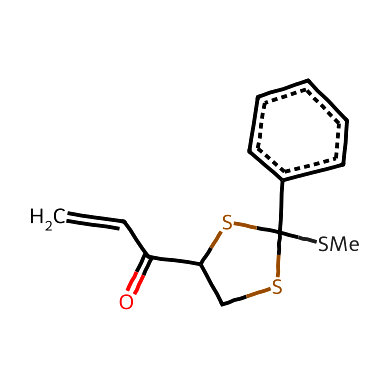 C=CC(=O)C1CSC(SC)(c2ccccc2)S1